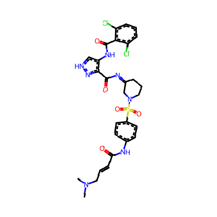 CN(C)C/C=C/C(=O)Nc1ccc(S(=O)(=O)N2CCC/C(=N/C(=O)c3n[nH]cc3NC(=O)c3c(Cl)cccc3Cl)C2)cc1